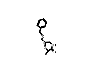 CC1O[C@@H](COCc2ccccc2)CNC1=O